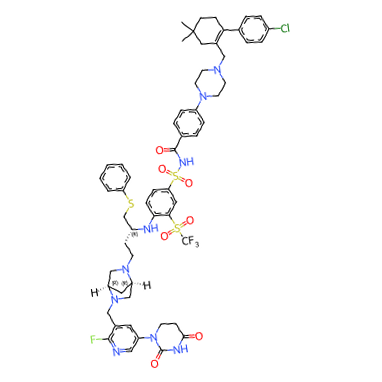 CC1(C)CCC(c2ccc(Cl)cc2)=C(CN2CCN(c3ccc(C(=O)NS(=O)(=O)c4ccc(N[C@H](CCN5C[C@H]6C[C@@H]5CN6Cc5cc(N6CCC(=O)NC6=O)cnc5F)CSc5ccccc5)c(S(=O)(=O)C(F)(F)F)c4)cc3)CC2)C1